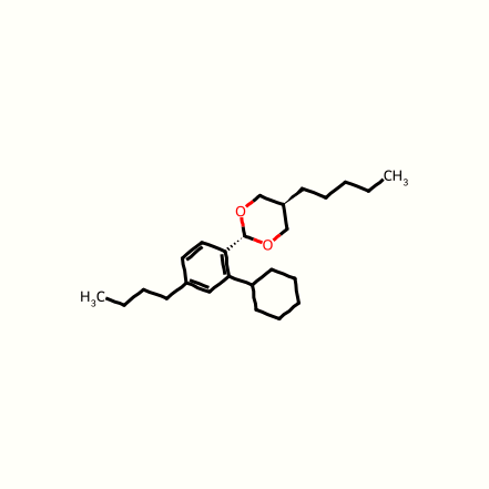 CCCCC[C@H]1CO[C@H](c2ccc(CCCC)cc2C2CCCCC2)OC1